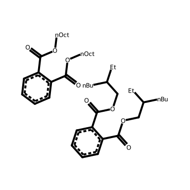 CCCCC(CC)COC(=O)c1ccccc1C(=O)OCC(CC)CCCC.CCCCCCCCOC(=O)c1ccccc1C(=O)OCCCCCCCC